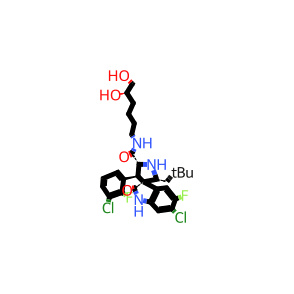 CC(C)(C)C[C@H]1N[C@@H](C(=O)NCCCC[C@H](O)CO)[C@H](c2cccc(Cl)c2F)[C@@]12C(=O)Nc1cc(Cl)c(F)cc12